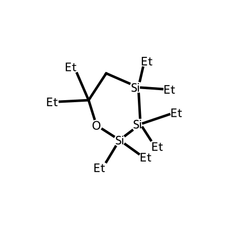 CCC1(CC)C[Si](CC)(CC)[Si](CC)(CC)[Si](CC)(CC)O1